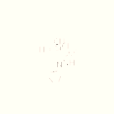 C[Si](C)(C)C1CN(c2ccccc2)NC1=O